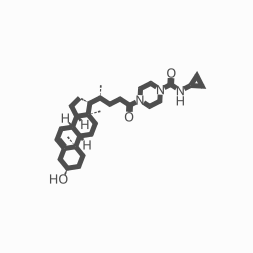 C[C@H](CCC(=O)N1CCN(C(=O)NC2CC2)CC1)[C@H]1CC[C@H]2[C@@H]3CC=C4C[C@@H](O)CC[C@]4(C)[C@H]3CC[C@]12C